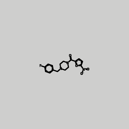 O=C(c1ccc([N+](=O)[O-])o1)N1CCN(Cc2ccc(F)cc2)CC1